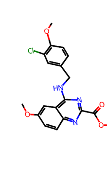 CCOC(=O)c1nc(NCc2ccc(OC)c(Cl)c2)c2cc(OC)ccc2n1